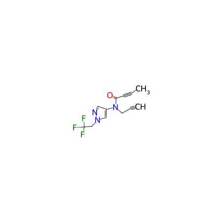 C#CCN(C(=O)C#CC)c1cnn(CC(F)(F)F)c1